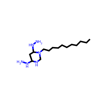 CCCCCCCCCCCN1CNC(NN)CC1NN